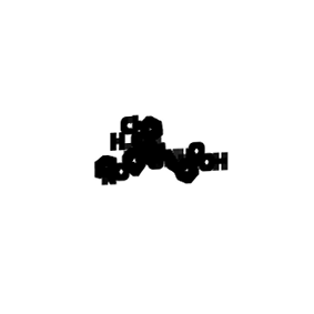 Cc1c(Cl)cccc1N(CC(=O)NCc1cccc(C(=O)O)c1)S(=O)(=O)c1ccc(Oc2ccccn2)cc1